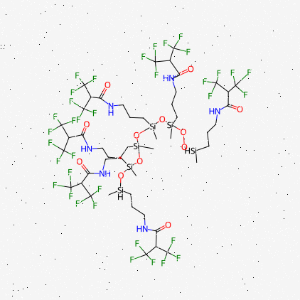 C[SiH](CCCNC(=O)C(C(F)(F)F)C(F)(F)F)OO[Si](C)(CCCNC(=O)C(C(F)(F)F)C(F)(F)F)O[Si](C)(CCCNC(=O)C(C(F)(F)F)C(F)(F)F)O[Si](C)(CCCNC(=O)C(C(F)(F)F)C(F)(F)F)O[Si](C)(CCCNC(=O)C(C(F)(F)F)C(F)(F)F)O[SiH](C)CCCNC(=O)C(C(F)(F)F)C(F)(F)F